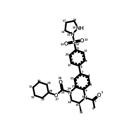 CC(=O)N1c2ccc(-c3ccc(S(=O)(=O)N4CCCN4)cc3)cc2N(C(=O)OC2CCCCC2)C[C@@H]1C